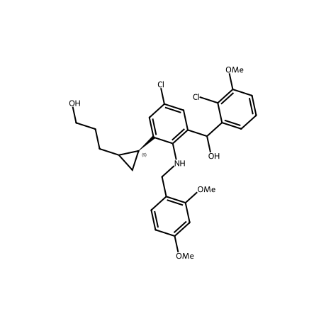 COc1ccc(CNc2c(C(O)c3cccc(OC)c3Cl)cc(Cl)cc2[C@H]2CC2CCCO)c(OC)c1